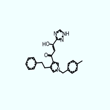 Cc1ccc(Cn2cc(CCc3ccccc3)c(C(=O)C=C(O)c3nc[nH]n3)c2)cc1